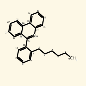 CCCCCCc1ccccc1-c1nc2ccccc2c2ccccc12